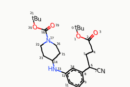 CC(C)(C)OC(=O)CCC(C#N)c1cccc(NC2CCN(C(=O)OC(C)(C)C)CC2)c1